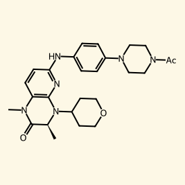 CC(=O)N1CCN(c2ccc(Nc3ccc4c(n3)N(C3CCOCC3)[C@@H](C)C(=O)N4C)cc2)CC1